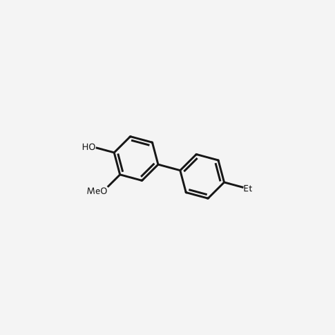 CCc1ccc(-c2ccc(O)c(OC)c2)cc1